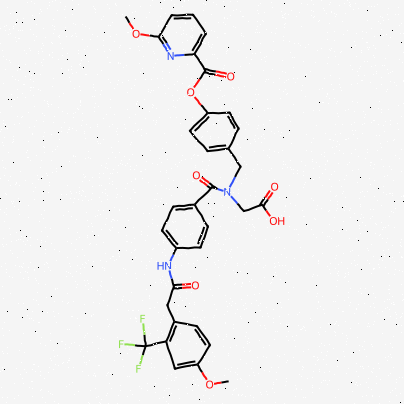 COc1ccc(CC(=O)Nc2ccc(C(=O)N(CC(=O)O)Cc3ccc(OC(=O)c4cccc(OC)n4)cc3)cc2)c(C(F)(F)F)c1